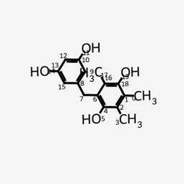 Cc1c(C)c(O)c(Cc2cc(O)cc(O)c2)c(C)c1O